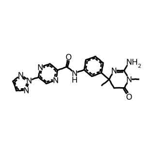 CN1C(=O)CC(C)(c2cccc(NC(=O)c3cnc(-n4nccn4)cn3)c2)N=C1N